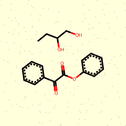 CCC(O)CO.O=C(Oc1ccccc1)C(=O)c1ccccc1